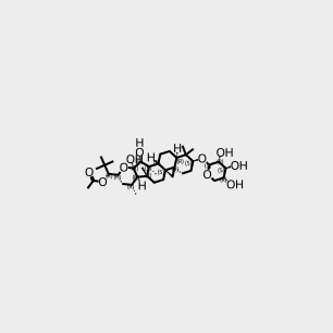 CC(=O)O[C@@H]([C@H]1C[C@@H](C)[C@H]2[C@@](O)(O1)[C@H](O)[C@@]1(C)[C@@H]3CC[C@H]4C(C)(C)[C@@H](O[C@@H]5OC[C@@H](O)[C@H](O)[C@H]5O)CC[C@@]45C[C@@]35CC[C@]21C)C(C)(C)C